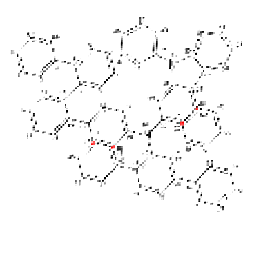 c1ccc(-c2ccccc2-c2ccccc2-c2ccc(N(c3ccc4c5ccccc5n(-c5ccccc5)c4c3)c3c(-c4ccccc4)ccc(-c4ccccc4)c3-c3ccccc3)cc2)cc1